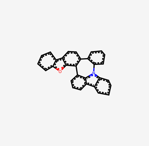 c1ccc2c(c1)-c1ccc3c(oc4ccccc43)c1-c1cccc3c4ccccc4n-2c13